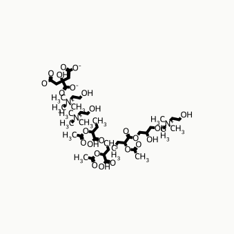 CCC(OC(C)=O)C(=O)O.CCC(OC(C)=O)C(=O)O.CCC(OC(C)=O)C(=O)OCC(O)CO.C[N+](C)(C)CCO.C[N+](C)(C)CCO.C[N+](C)(C)CCO.O=C([O-])CC(O)(CC(=O)[O-])C(=O)[O-]